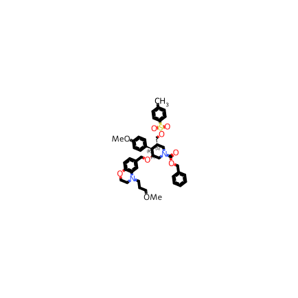 COCCCN1CCOc2ccc(CO[C@H]3CN(C(=O)OCc4ccccc4)C[C@@H](COS(=O)(=O)c4ccc(C)cc4)[C@@H]3c3ccc(OC)cc3)cc21